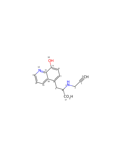 C#CCNC(Cc1ccc(O)c2ncccc12)C(=O)O